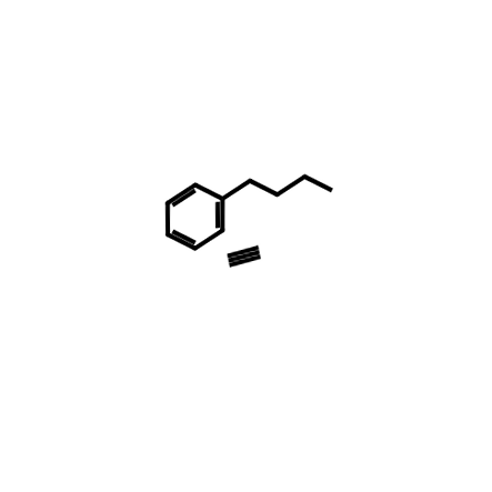 C#C.CCCCc1ccccc1